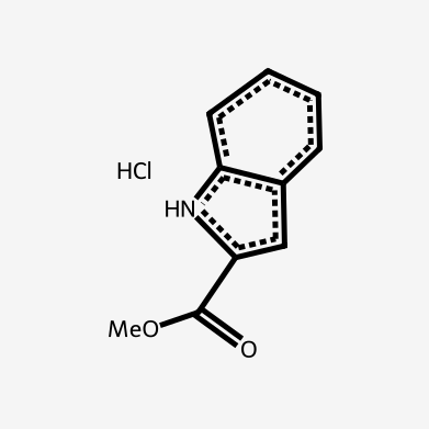 COC(=O)c1cc2ccccc2[nH]1.Cl